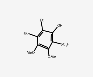 CCc1c(O)c(S(=O)(=O)O)c(OC)c(OC)c1C(C)CC